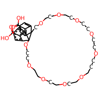 O=C(O)C1=C2C=CC=C1C21OCCOCCOCCOCCOCCCOCCOCCOCCOCCOCC12c1cccc2c1C(=O)O